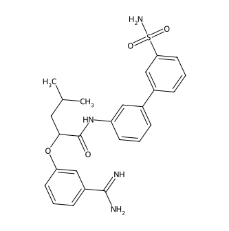 CC(C)CC(Oc1cccc(C(=N)N)c1)C(=O)Nc1cccc(-c2cccc(S(N)(=O)=O)c2)c1